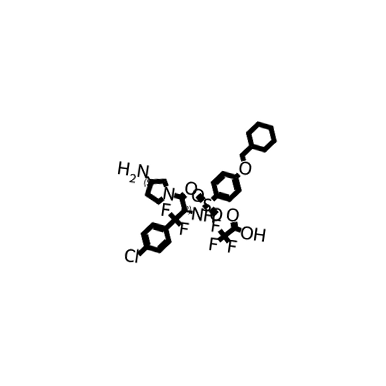 N[C@H]1CCN(C(=O)[C@@H](NS(=O)(=O)c2ccc(OCC3CCCCC3)cc2)C(F)(F)c2ccc(Cl)cc2)C1.O=C(O)C(F)(F)F